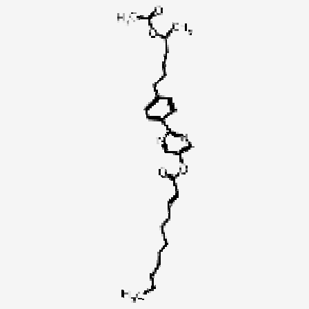 CCCCCCCC/C=C/C(=O)Oc1cnc(-c2ccc(CCCCC(C)OC(C)=O)cc2)nc1